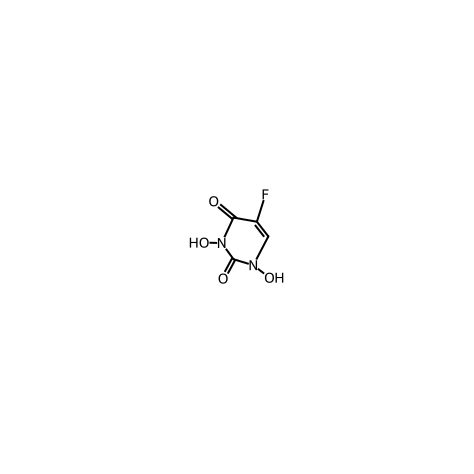 O=c1c(F)cn(O)c(=O)n1O